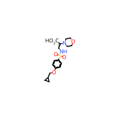 O=C(O)[C@H](CNS(=O)(=O)c1ccc(OCC2CC2)cc1)N1CCOCC1